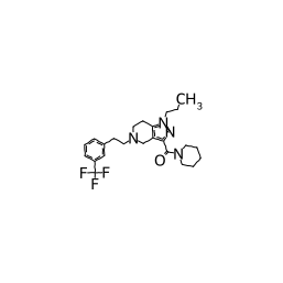 CCCn1nc(C(=O)N2CCCCC2)c2c1CCN(CCc1cccc(C(F)(F)F)c1)C2